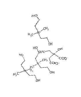 C[N+](C)(CCO)CCO.C[N+](C)(CCO)CCO.C[N+](C)(CCO)CCO.O=C([O-])CC(O)(CC(=O)[O-])C(=O)[O-]